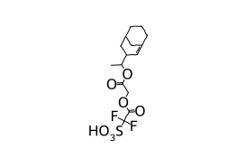 CC(OC(=O)COC(=O)C(F)(F)S(=O)(=O)O)C1C=C2CCCC(C2)C1